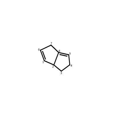 C1=CC2CCC=C2C1